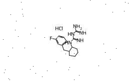 Cl.N=C(N)NC(=N)NC1CCCCC1Cc1cccc(F)c1